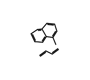 C=CC=C.Cc1cccc2ccccc12